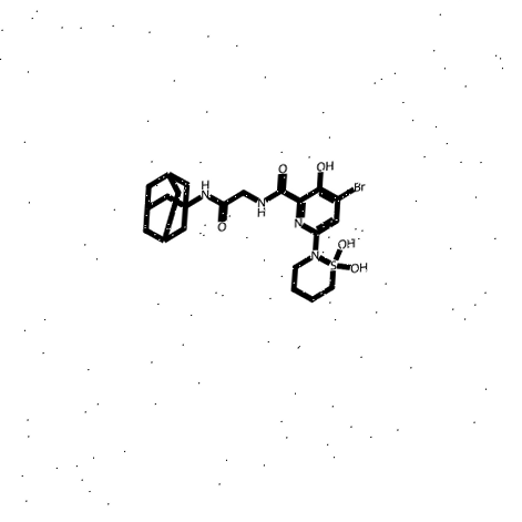 O=C(CNC(=O)c1nc(N2CCCCS2(O)O)cc(Br)c1O)NC12CC3CC(CC(C3)C1)C2